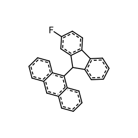 Fc1ccc2c(c1)C(c1c3ccccc3cc3ccccc13)c1ccccc1-2